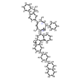 CC1=C=C(c2ccc3c(c2)C(C)(C)c2ccccc2-3)/C(C)=C\C(c2ccccc2)/N=C\1c1cc2oc3ccc(-c4ccc(-c5ccc6ccccc6c5)cc4)cc3c2c2ccccc12